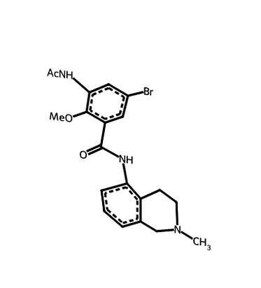 COc1c(NC(C)=O)cc(Br)cc1C(=O)Nc1cccc2c1CCN(C)C2